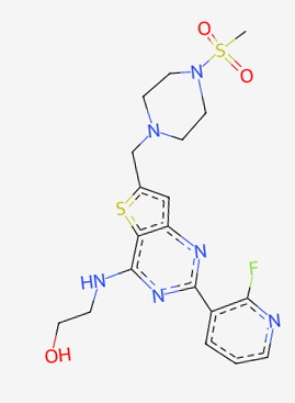 CS(=O)(=O)N1CCN(Cc2cc3nc(-c4cccnc4F)nc(NCCO)c3s2)CC1